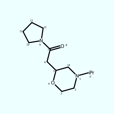 CC(C)N1CCOC(CC(=O)N2CCCC2)C1